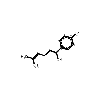 CC(C)=CCCC(O)c1ccc(Br)cc1